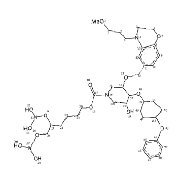 COCCCN1CCOc2ccc(COC3CN(C(=O)OCCCCC(CON(O)O)ON(O)O)CC(O)C3OC3CCC(Oc4ccccc4)CC3)cc21